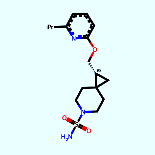 CC(C)c1cccc(OC[C@@H]2CC23CCN(S(N)(=O)=O)CC3)n1